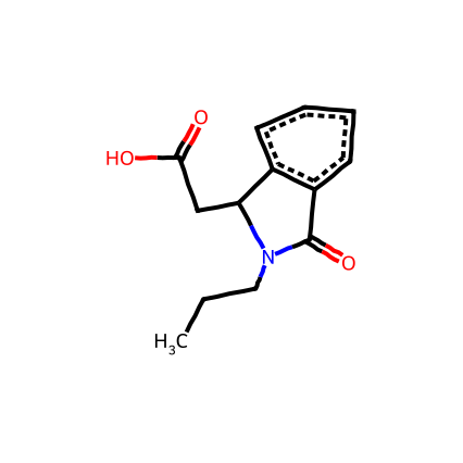 CCCN1C(=O)c2ccccc2C1CC(=O)O